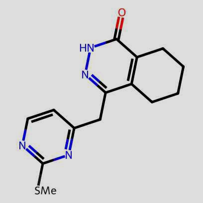 CSc1nccc(Cc2n[nH]c(=O)c3c2CCCC3)n1